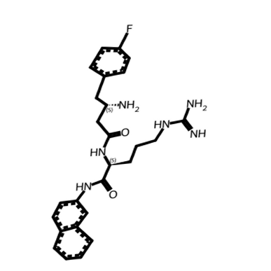 N=C(N)NCCC[C@H](NC(=O)C[C@@H](N)Cc1ccc(F)cc1)C(=O)Nc1ccc2ccccc2c1